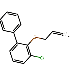 C=CCSc1c(Cl)cccc1-c1ccccc1